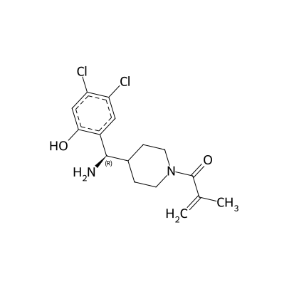 C=C(C)C(=O)N1CCC([C@@H](N)c2cc(Cl)c(Cl)cc2O)CC1